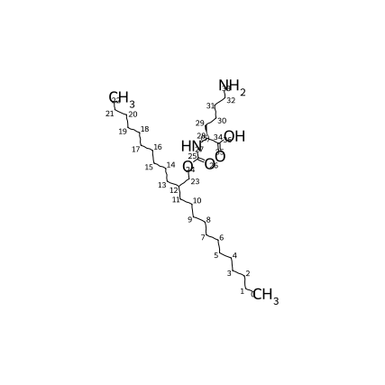 CCCCCCCCCCCCC(CCCCCCCCCC)COC(=O)N[C@@H](CCCCN)C(=O)O